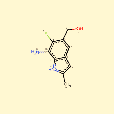 Cc1cc2cc(CO)c(F)c(N)c2[nH]1